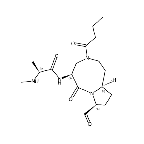 CCCC(=O)N1CC[C@H]2CC[C@@H](C=O)N2C(=O)[C@@H](NC(=O)[C@H](C)NC)C1